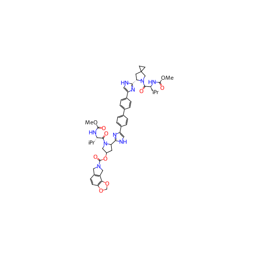 COC(=O)N[C@H](C(=O)N1CC(OC(=O)N2Cc3ccc4c(c3C2)OCO4)CC1c1nc(-c2ccc(-c3ccc(-c4c[nH]c([C@@H]5CC6(CC6)CN5C(=O)[C@@H](NC(=O)OC)C(C)C)n4)cc3)cc2)c[nH]1)C(C)C